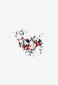 CN[C@@H](CC(C)C)C(=O)N[C@H]1C(=O)N[C@@H](CC(N)=O)C(=O)NC2C(=O)N[C@@H]3C(=O)N[C@@H](C(=O)N[C@@H](C(=O)O)c4cc(O)cc(O)c4-c4cc3ccc4O)[C@H](O)c3ccc(c(Cl)c3)Oc3cc2cc(c3OC2O[C@@H](CO)[C@@H](O)[C@@H](O)[C@H]2O[C@H]2CC(C)(NCCn3ccc(NNC(=O)c4ccc(OC(F)(F)F)cc4)nc3=O)[C@@H](O)[C@@H](C)O2)Oc2ccc(cc2Cl)[C@H]1O